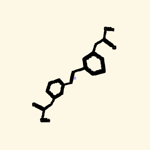 COC(=O)Cc1cccc(/C=C/c2cccc(CC(=O)OC)c2)c1